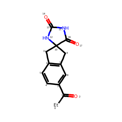 CCC(=O)c1ccc2c(c1)CC1(C2)NC(=O)NC1=O